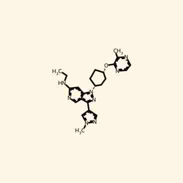 CCNc1cc2c(cn1)c(-c1cnn(C)c1)nn2[C@H]1CC[C@@H](Oc2nccnc2C)CC1